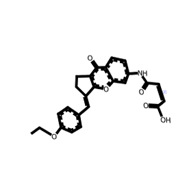 CCOc1ccc(C=C2CCc3c2oc2cc(NC(=O)/C=C\C(=O)O)ccc2c3=O)cc1